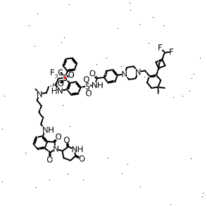 CN(CCCCCNc1cccc2c1C(=O)N(C1CCC(=O)NC1=O)C2=O)CC[C@H](CSc1ccccc1)Nc1ccc(S(=O)(=O)NC(=O)c2ccc(N3CCN(CC4=C(C56CC(C(F)F)(C5)C6)CC(C)(C)CC4)CC3)cc2)cc1S(=O)(=O)C(F)(F)F